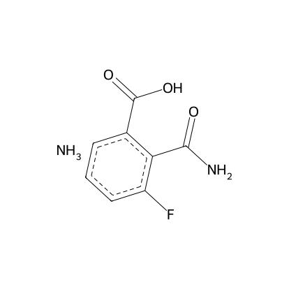 N.NC(=O)c1c(F)cccc1C(=O)O